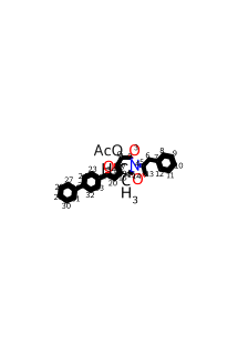 CC(=O)OC(C(=O)N1C(Cc2ccccc2)COC1(C)C)c1ccc(-c2ccc(-c3ccccc3)cc2)o1